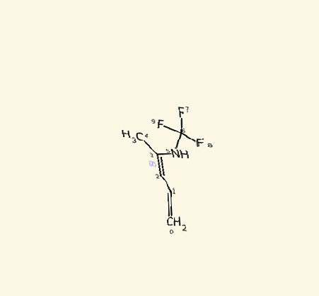 C=C/C=C(/C)NC(F)(F)F